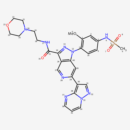 COc1cc(NS(C)(=O)=O)ccc1-n1nc(C(=O)NCCN2CCOCC2)c2cnc(-c3cnn4cccnc34)cc21